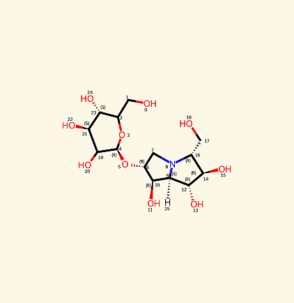 OCC1O[C@@H](O[C@@H]2CN3[C@H]([C@H]2O)[C@@H](O)[C@H](O)[C@H]3CO)C(O)[C@@H](O)[C@@H]1O